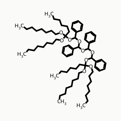 CCCCCCCCOC(CCCCCC)(OCCCCCCCC)OC(OC(OC(OC(OC(CCCCCC)(OCCCCCCCC)OCCCCCCCC)c1ccccc1)c1ccccc1)c1ccccc1)c1ccccc1